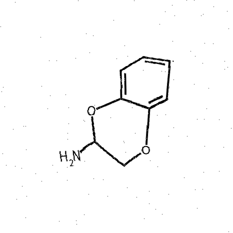 NC1COc2c[c]ccc2O1